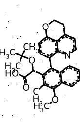 COc1c(C)c(C(OC(C)(C)C)C(=O)O)c(-c2ccc3c4c(ccnc24)CCO3)c2ccccc12